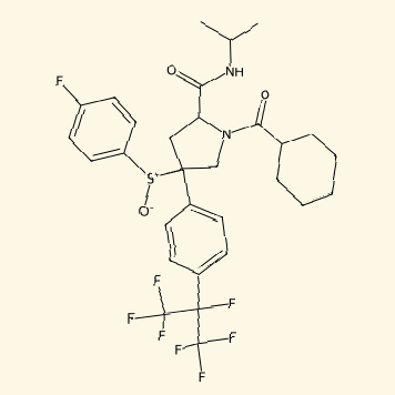 CC(C)NC(=O)C1CC(c2ccc(C(F)(C(F)(F)F)C(F)(F)F)cc2)([S+]([O-])c2ccc(F)cc2)CN1C(=O)C1CCCCC1